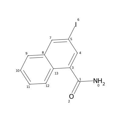 NC(=O)c1cc(I)cc2ccccc12